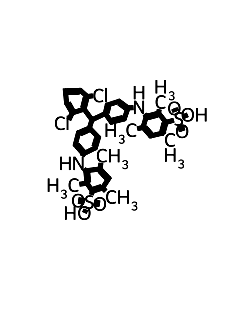 Cc1cc(C)c(S(=O)(=O)O)c(C)c1Nc1ccc(C(c2ccc(Nc3c(C)cc(C)c(S(=O)(=O)O)c3C)cc2)c2c(Cl)cccc2Cl)cc1